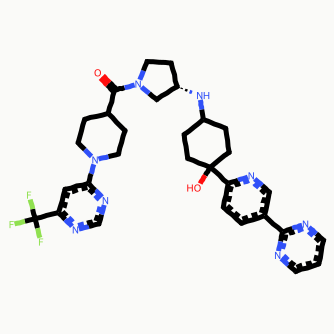 O=C(C1CCN(c2cc(C(F)(F)F)ncn2)CC1)N1CC[C@H](NC2CCC(O)(c3ccc(-c4ncccn4)cn3)CC2)C1